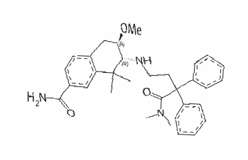 CO[C@@H]1Cc2ccc(C(N)=O)cc2C(C)(C)[C@H]1NCCC(C(=O)N(C)C)(c1ccccc1)c1ccccc1